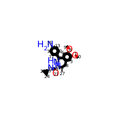 COc1cc2c(cc1OC)C(c1ccc(N)cc1)=NN(C(=O)NC1CC1)[C@H](C)C2